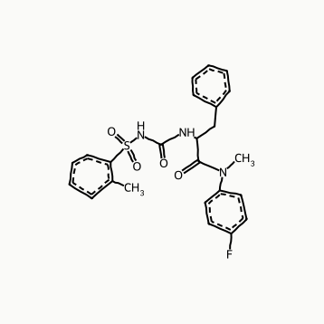 Cc1ccccc1S(=O)(=O)NC(=O)NC(Cc1ccccc1)C(=O)N(C)c1ccc(F)cc1